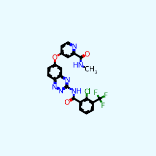 CNC(=O)c1cc(Oc2ccc3nnc(NC(=O)c4cccc(C(F)(F)F)c4Cl)nc3c2)ccn1